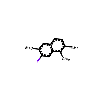 COc1cc2ccc(OC)c(OC)c2cc1I